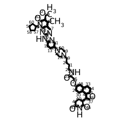 CC(=O)c1c(C)c2cnc(Nc3ccc(N4CCN(CCCCNC(=O)COc5ccc6c(ccc7occ(C8CCC(=O)NC8=O)c76)c5)CC4)cn3)nc2n(C2CCCC2)c1=O